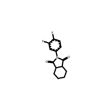 O=C1C2CCCCC2C(=O)N1c1ccc(F)c(F)c1